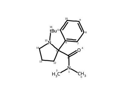 CN(C)C(=O)C1(c2ccccc2)CCCN1C(C)(C)C